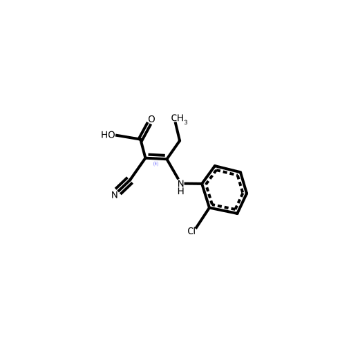 CC/C(Nc1ccccc1Cl)=C(/C#N)C(=O)O